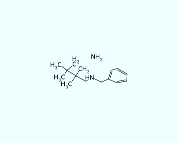 CC(C)(C)C(C)(C)CNCc1ccccc1.N